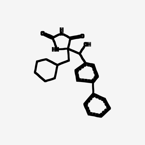 O=C1NC(=O)C(CC2CCCCC2)(C(O)c2ccc(-c3ccccc3)cc2)N1